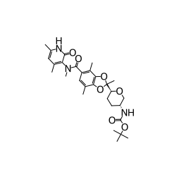 Cc1cc(C)c(N(C)C(=O)c2cc(C)c3c(c2C)OC(C)([C@@H]2CC[C@@H](NC(=O)OC(C)(C)C)CO2)O3)c(=O)[nH]1